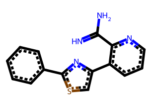 N=C(N)c1ncccc1-c1csc(-c2ccccc2)n1